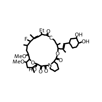 CCC1/C=C(\C)C(F)C(C)CC(OC)C2OC(O)(C(=O)C(=O)N3CCCCC3C(=O)OC(C(C)=CC3CCC(O)C(O)C3)C(C)CCC1=O)C(C)CC2OC